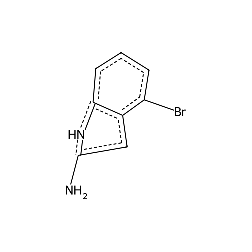 Nc1cc2c(Br)cccc2[nH]1